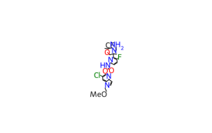 COCCn1ccc2nc(OC(=O)Nc3ccc(F)c(C4(C)COC(C)(C(F)(F)F)C(N)=N4)n3)c(Cl)cc21